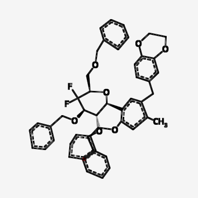 Cc1cc(OCc2ccccc2)c([C@@H]2O[C@H](COCc3ccccc3)C(F)(F)[C@H](OCc3ccccc3)[C@H]2OCc2ccccc2)cc1Cc1ccc2c(c1)OCCO2